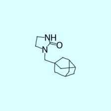 O=C1NCCN1CC12CC3CC(C1)C(C3)C2